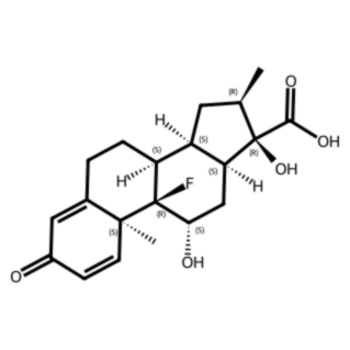 C[C@@H]1C[C@H]2[C@H](C[C@H](O)[C@@]3(F)[C@H]2CCC2=CC(=O)C=C[C@@]23C)[C@@]1(O)C(=O)O